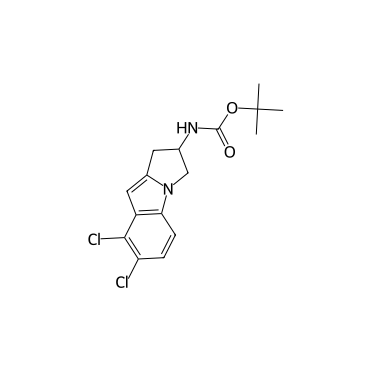 CC(C)(C)OC(=O)NC1Cc2cc3c(Cl)c(Cl)ccc3n2C1